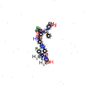 Cc1c(C(=O)N2CCC(C)(O)CC2)c(-c2cccc(N3CCN(c4ccc(NS(=O)(=O)c5ccc(N[C@H](CCN6CCC(C)(O)CC6)CSc6ccccc6)c(S(=O)(=O)C(F)(F)F)c5)cc4)CC3)c2)c(-c2ccc(F)cc2)n1C